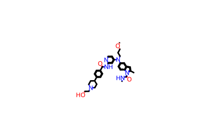 CNC(=O)n1c(C)cc2cc(N(CCCOC)c3ccnc(NC(=O)c4ccc(C5CCN(CCO)CC5)cc4)c3)ccc21